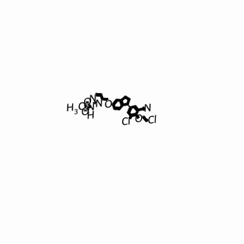 CS(=O)(=O)Nc1nccc(COc2ccc3c(c2)CC[C@H]3c2cc(Cl)c(OCCCl)c(C#N)c2)n1